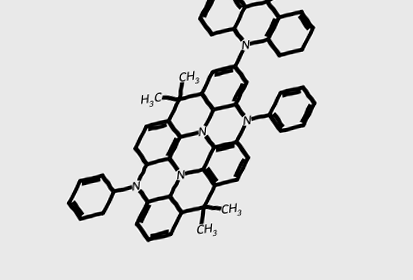 CC1(C)C2=CC=CCC2N(C2=CC3C4C(=C2)N(c2ccccc2)c2ccc5c6c2N4C2=C4C(CC=C2C3(C)C)N(C2C=CC=CC2)C2=CC=CC(C2N46)C5(C)C)C2=C1C=CCC2